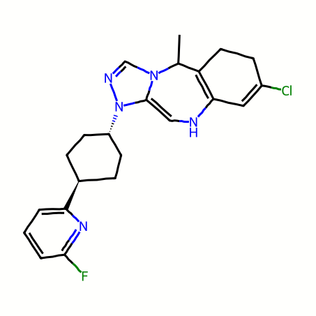 CC1C2=C(C=C(Cl)CC2)NC=C2N1C=NN2[C@H]1CC[C@H](c2cccc(F)n2)CC1